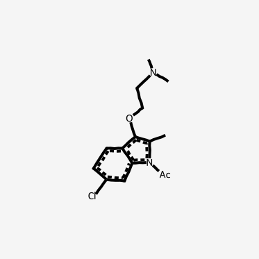 CC(=O)n1c(C)c(OCCN(C)C)c2ccc(Cl)cc21